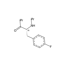 CC(C)N[C@H](Cc1ccc(F)cc1)C(=O)C(C)C